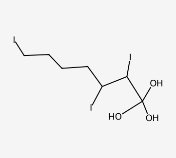 OC(O)(O)C(I)C(I)CCCCI